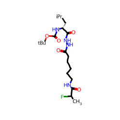 CC(C)C[C@@H](NC(=O)OC(C)(C)C)C(=O)NNC(=O)CCCCCNC(=O)C(C)F